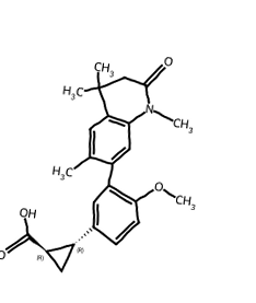 COc1ccc([C@@H]2C[C@H]2C(=O)O)cc1-c1cc2c(cc1C)C(C)(C)CC(=O)N2C